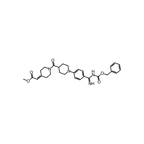 COC(=O)C=C1CCN(C(=O)C2CCN(c3ccc(C(=N)NC(=O)OCc4ccccc4)cc3)CC2)CC1